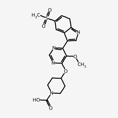 COc1c(OC2CCN(C(=O)O)CC2)ncnc1C1=CN=C2CC=C(S(C)(=O)=O)C=C12